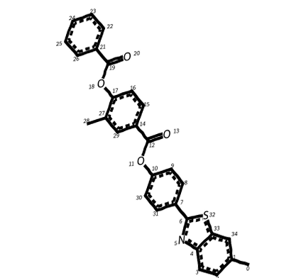 Cc1ccc2nc(-c3ccc(OC(=O)c4ccc(OC(=O)c5ccccc5)c(C)c4)cc3)sc2c1